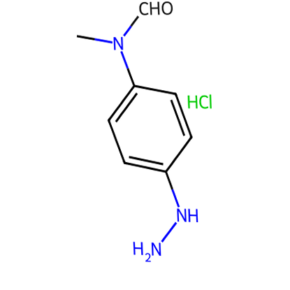 CN(C=O)c1ccc(NN)cc1.Cl